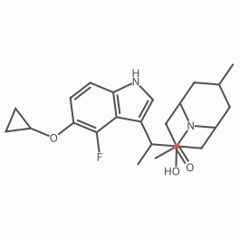 CC1CC2CC(C)(O)CC(C1)N2C(=O)C(C)c1c[nH]c2ccc(OC3CC3)c(F)c12